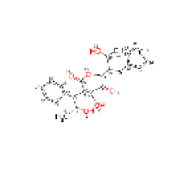 CC(O)C(C1=C(O)C(=O)C(C(Cc2ccccc2)C(C)O)OC1=O)c1ccccc1